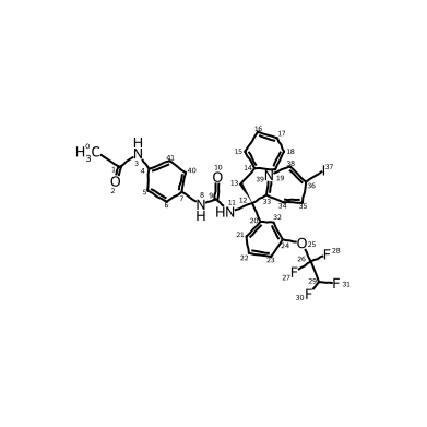 CC(=O)Nc1ccc(NC(=O)N[C@@](Cc2ccccc2)(c2cccc(OC(F)(F)C(F)F)c2)c2ccc(I)cn2)cc1